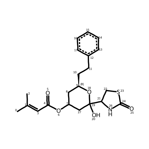 CC(C)=CC(=O)OC1C[C@@H](CCc2ccccc2)OC(O)(C2CSC(=O)N2)C1